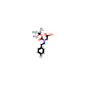 CC(C)(C)OC(=O)N(CCc1ccc(Cl)cc1)CC(=O)O